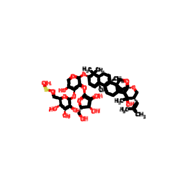 CC(C)=C[C@H]1CO[C@]23C[C@]4(CO2)C(CCC2[C@@]5(C)CC[C@H](O[C@@H]6OC[C@H](O)[C@@H](O[C@@H]7OC(COSO)[C@@H](O)[C@@H](O)C7O)C6O[C@@H]6O[C@@H](CO)[C@@H](O)C6O)C(C)(C)C5CC[C@]24C)C3C1(C)O